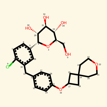 OC[C@H]1O[C@H](c2ccc(Cl)c(Cc3ccc(OC4CC5(CCOCC5)C4)cc3)c2)[C@H](O)[C@@H](O)[C@@H]1O